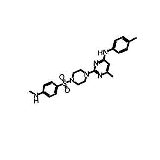 CNc1ccc(S(=O)(=O)N2CCN(c3nc(C)cc(Nc4ccc(C)cc4)n3)CC2)cc1